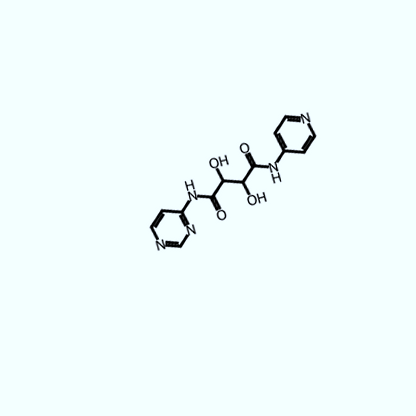 O=C(Nc1ccncc1)C(O)C(O)C(=O)Nc1ccncn1